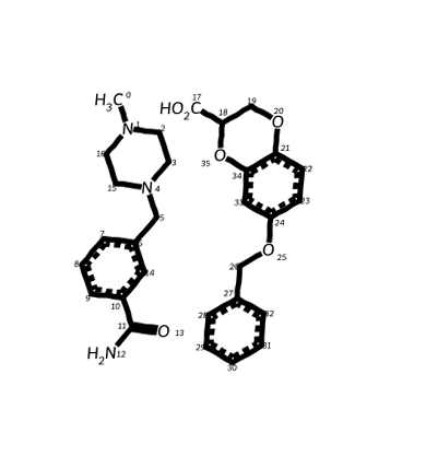 CN1CCN(Cc2cccc(C(N)=O)c2)CC1.O=C(O)C1COc2ccc(OCc3ccccc3)cc2O1